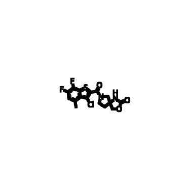 Cc1cc(F)c(F)c2sc(C(=O)N3CCC4(COC(=O)N4)C3)c(Cl)c12